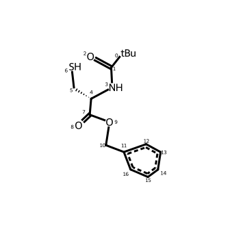 CC(C)(C)C(=O)N[C@@H](CS)C(=O)OCc1ccccc1